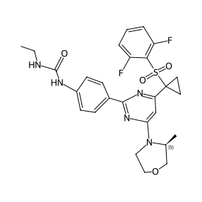 CCNC(=O)Nc1ccc(-c2nc(N3CCOC[C@@H]3C)cc(C3(S(=O)(=O)c4c(F)cccc4F)CC3)n2)cc1